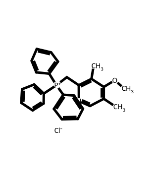 COc1c(C)cnc(C[P+](c2ccccc2)(c2ccccc2)c2ccccc2)c1C.[Cl-]